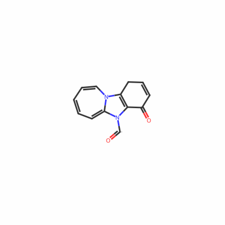 O=[C]N1C2=CC=CC=CN2C2=C1C(=O)C=CC2